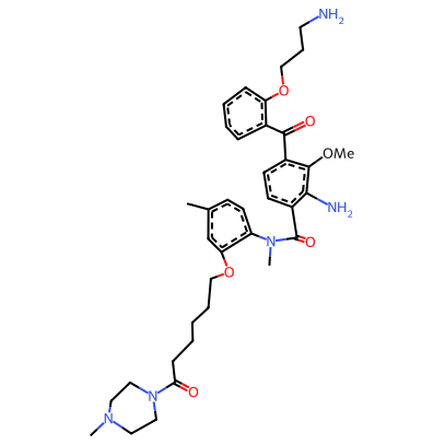 COc1c(C(=O)c2ccccc2OCCCN)ccc(C(=O)N(C)c2ccc(C)cc2OCCCCCC(=O)N2CCN(C)CC2)c1N